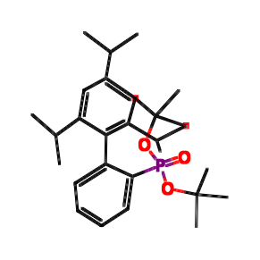 CC(C)c1cc(C(C)C)c(-c2ccccc2P(=O)(OC(C)(C)C)OC(C)(C)C)c(C(C)C)c1